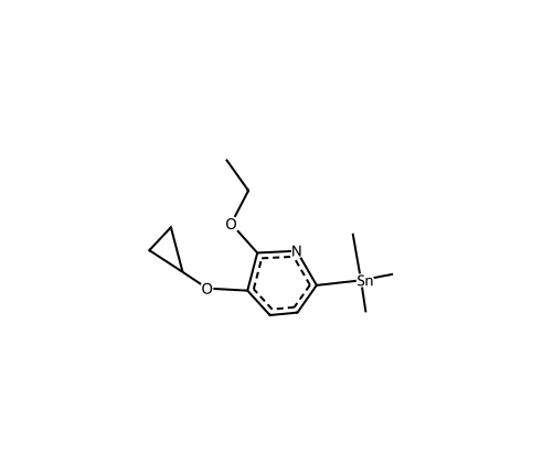 CCOc1n[c]([Sn]([CH3])([CH3])[CH3])ccc1OC1CC1